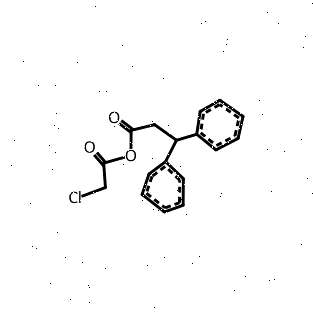 O=C(CCl)OC(=O)CC(c1ccccc1)c1ccccc1